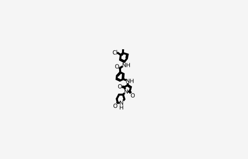 Cc1ccc(NC(=O)c2cccc(NC3=CC(=O)N(C4CCC(=O)NC4)C3=O)c2)cc1Cl